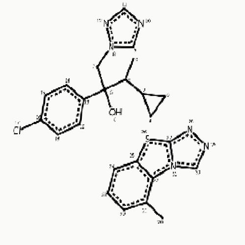 CC(C1CC1)C(O)(Cn1cncn1)c1ccc(Cl)cc1.Cc1cccc2sc3nncn3c12